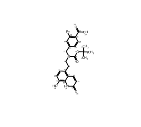 CC(C)(C)OC(=O)N(CCc1ccc(O)c2[nH]c(=O)ccc12)Cc1ccc(C(=O)O)c(F)c1